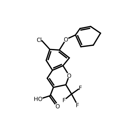 O=C(O)C1=Cc2cc(Cl)c(OC3=CCCC=C3)cc2OC1C(F)(F)F